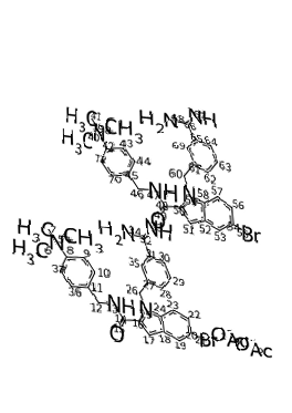 CC(=O)[O-].CC(=O)[O-].C[N+](C)(C)c1ccc(CNC(=O)c2cc3cc(Br)ccc3n2Cc2cccc(C(=N)N)c2)cc1.C[N+](C)(C)c1ccc(CNC(=O)c2cc3cc(Br)ccc3n2Cc2cccc(C(=N)N)c2)cc1